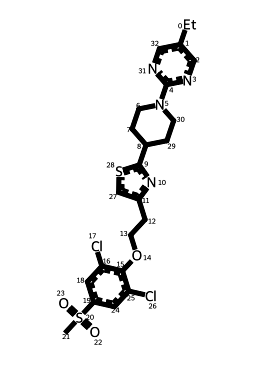 CCc1cnc(N2CCC(c3nc(CCOc4c(Cl)cc(S(C)(=O)=O)cc4Cl)cs3)CC2)nc1